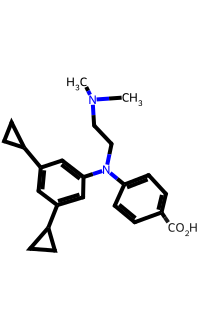 CN(C)CCN(c1ccc(C(=O)O)cc1)c1cc(C2CC2)cc(C2CC2)c1